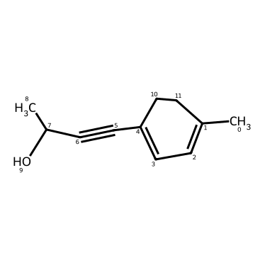 CC1=CC=C(C#CC(C)O)CC1